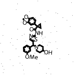 COc1cccc(C(c2cnc(NC(=O)C3(c4ccc5c(c4)OCO5)CC3)s2)N2CCC(O)CC2)c1